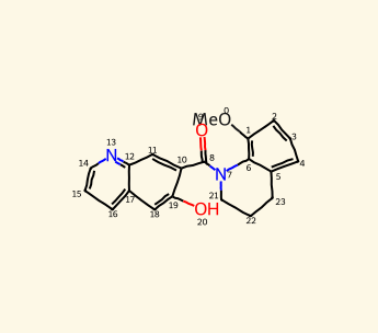 COc1cccc2c1N(C(=O)c1cc3ncccc3cc1O)CCC2